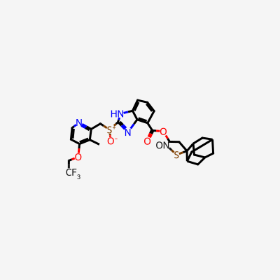 Cc1c(OCC(F)(F)F)ccnc1C[S+]([O-])c1nc2c(C(=O)OCCC3(SN=O)C4CC5CC(C4)CC3C5)cccc2[nH]1